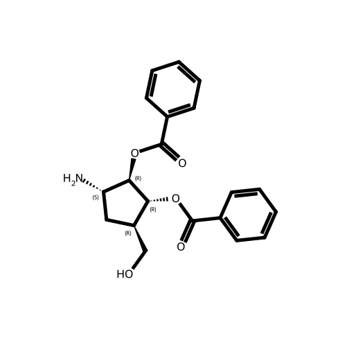 N[C@H]1C[C@H](CO)[C@@H](OC(=O)c2ccccc2)[C@@H]1OC(=O)c1ccccc1